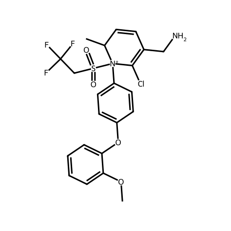 COc1ccccc1Oc1ccc([N+]2(S(=O)(=O)CC(F)(F)F)C(Cl)=C(CN)C=CC2C)cc1